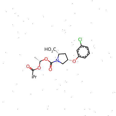 CC(C)C(=O)O[C@H](C)OC(=O)N1C[C@@H](Oc2cccc(Cl)c2)C[C@H]1C(=O)O